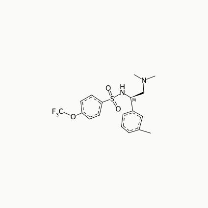 Cc1cccc([C@H](CN(C)C)NS(=O)(=O)c2ccc(OC(F)(F)F)cc2)c1